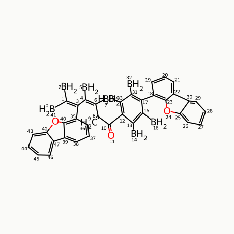 BC(B)=C(/C(B)=C(/B)C(=C)C(=O)c1c(B)c(B)c(-c2cccc3c2oc2ccccc23)c(B)c1B)c1cccc2c1oc1ccccc12